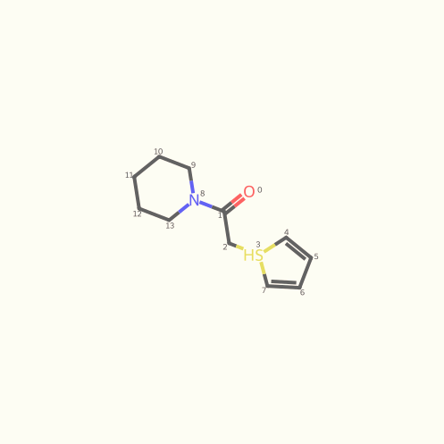 O=C(C[SH]1C=CC=C1)N1CCCCC1